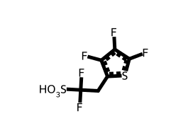 O=S(=O)(O)C(F)(F)Cc1sc(F)c(F)c1F